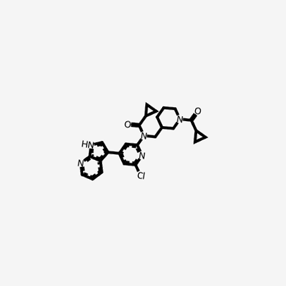 O=C(C1CC1)N1CCCC(CN(C(=O)C2CC2)c2cc(-c3c[nH]c4ncccc34)cc(Cl)n2)C1